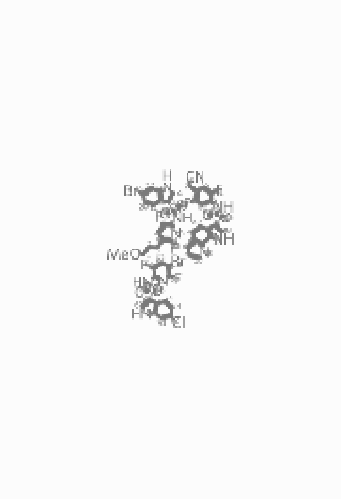 COCCCc1cc(F)c(NS(=O)(=O)c2c[nH]c3cc(Br)ccc23)nc1F.N#CCc1cc(F)c(NS(=O)(=O)c2c[nH]c3c2ccc2cccnc23)cc1F.O=S(=O)(Nc1nc(F)c(Br)cc1F)c1c[nH]c2cc(Cl)ccc12